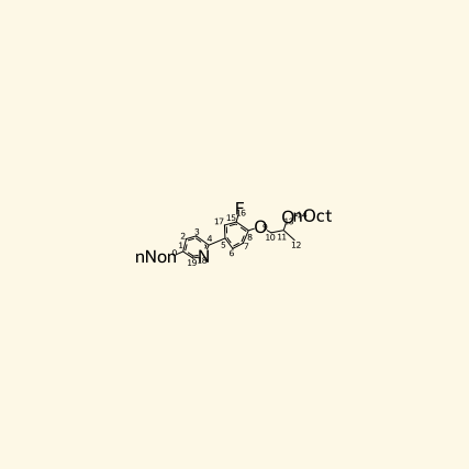 CCCCCCCCCc1ccc(-c2ccc(OCC(C)OCCCCCCCC)c(F)c2)nc1